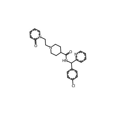 O=C(NC(c1ccc(Cl)cc1)c1ccccn1)C1CCN(CCn2ccccc2=O)CC1